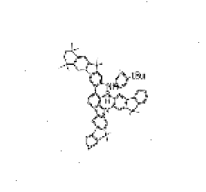 CC(C)(C)c1ccc(Nc2cc3c(cc2-c2ccc4c5cc6c(cc5n5c4c2Bc2cc4c(cc2-5)C(C)(C)c2ccccc2-4)C(C)(C)c2ccccc2-6)-c2cc4c(cc2C3(C)C)C(C)(C)CCC4(C)C)cc1